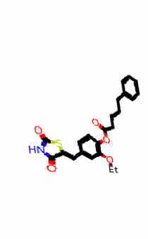 CCOc1cc(/C=C2\SC(=O)NC2=O)ccc1OC(=O)CCCCc1ccccc1